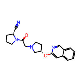 N#C[C@@H]1CCCN1C(=O)CN1CC[C@H](Oc2cc3ccccc3cn2)C1